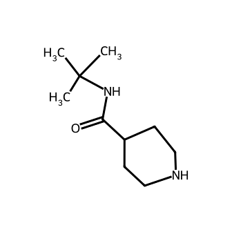 CC(C)(C)NC(=O)C1CCNCC1